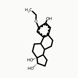 CCOc1cc2c(cc1O)CCC1C2CC[C@@]2(O)C1CC[C@@H]2O